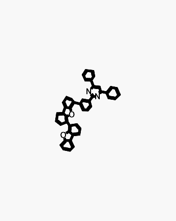 c1ccc(-c2cc(-c3ccccc3)nc(-c3cccc(-c4cccc5c4oc4c(-c6cccc7c6oc6ccccc67)cccc45)c3)n2)cc1